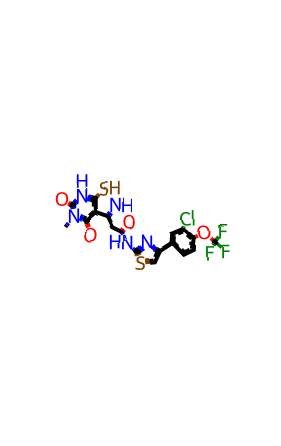 Cn1c(=O)[nH]c(S)c(C(=N)CC(=O)Nc2nc(-c3ccc(OC(F)(F)F)c(Cl)c3)cs2)c1=O